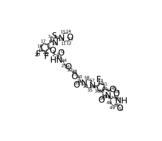 O=C(COc1c(-c2csc(N3CCOCC3)n2)ccc(F)c1F)NCCOCCOCC(=O)N1CCN(c2cc3c(cc2F)C(=O)N(C2CCC(=O)NC2=O)C3=O)CC1